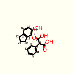 O=C(O)C(C(=O)O)c1ccccc1.Oc1ccc2c(c1)CCC2